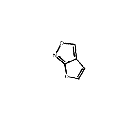 c1cc2conc2o1